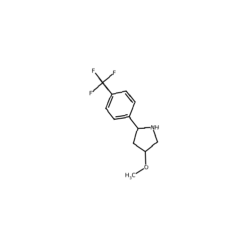 COC1CNC(c2ccc(C(F)(F)F)cc2)C1